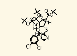 CC(C)(C)OC(=O)N[C@]1(C(=O)OC(C)(C)C)[C@@H]2[C@@H](C(=O)OC(C)(C)C)[C@@H]2[C@H](Sc2ncc[nH]2)[C@H]1OCc1ccc(Cl)c(Cl)c1